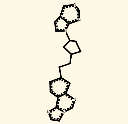 c1ncc2ccn(C3CCC(CCc4ccc5c(c4)ncn4ccnc54)C3)c2n1